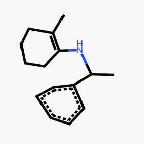 CC1=C(NC(C)c2ccccc2)CCCC1